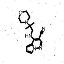 CC(C)(CNc1c(C#N)cnn2cccc12)N1CCOCC1